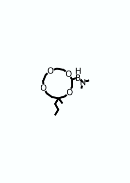 CCCC1(C)CCOCCOCCOC(BN(C)C)COC1